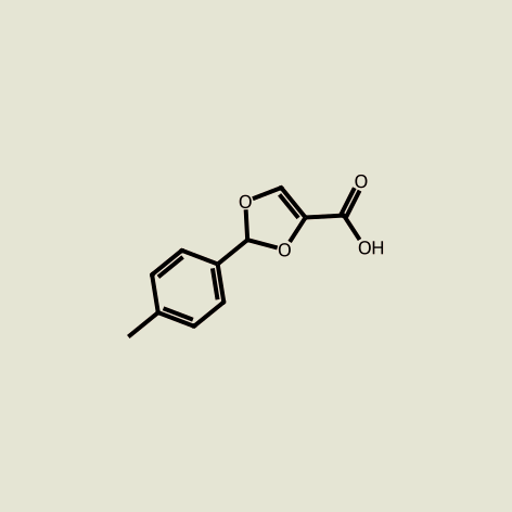 Cc1ccc(C2OC=C(C(=O)O)O2)cc1